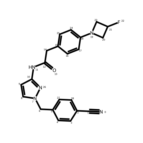 N#Cc1ccc(Cn2ccc(NC(=O)Cc3ccc(N4CC(F)C4)cc3)n2)cc1